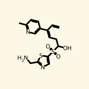 C=C/C(=C\CC(O)S(=O)(=O)c1cnc(CN)s1)c1ccc(C)nc1